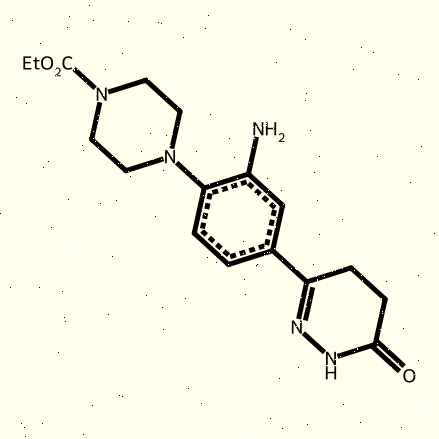 CCOC(=O)N1CCN(c2ccc(C3=NNC(=O)CC3)cc2N)CC1